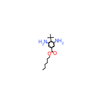 CCCCCCOC(=O)c1cc(N)c(C(C)(C)C)c(N)c1